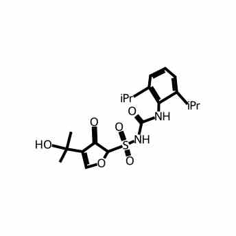 CC(C)c1cccc(C(C)C)c1NC(=O)NS(=O)(=O)C1OC=C(C(C)(C)O)C1=O